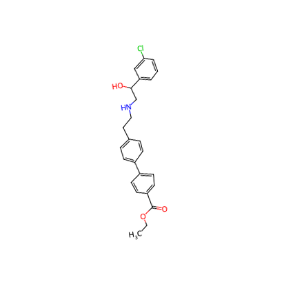 CCOC(=O)c1ccc(-c2ccc(CCNCC(O)c3cccc(Cl)c3)cc2)cc1